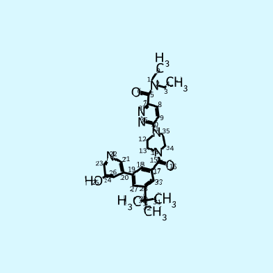 CCN(CC)C(=O)c1ccc(N2CCN(C(=O)c3cc(-c4cncc(O)c4)cc(C(C)(C)C)c3)CC2)nn1